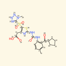 Cc1ccc(NC(=O)Nc2nc(CC(=O)O)c(S(=O)(=O)c3nnnn3C)s2)c(C(=O)C2CCCC2)c1